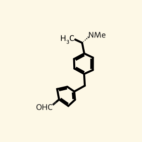 CN[C@@H](C)c1ccc(Cc2ccc(C=O)cc2)cc1